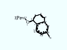 CCCCCOC1CC=Cc2cc(I)ccc21